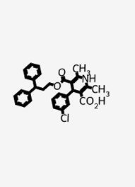 CC1=C(C(=O)O)C(c2cccc(Cl)c2)C(C(=O)OCCC(c2ccccc2)c2ccccc2)=C(C)N1